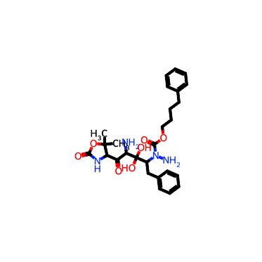 CC1(C)OC(=O)NC1C(=O)C(N)C(O)(O)C(Cc1ccccc1)N(N)C(=O)OCCCCc1ccccc1